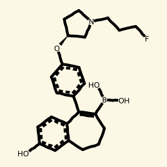 OB(O)C1=C(c2ccc(O[C@H]3CCN(CCCF)C3)cc2)c2ccc(O)cc2CCC1